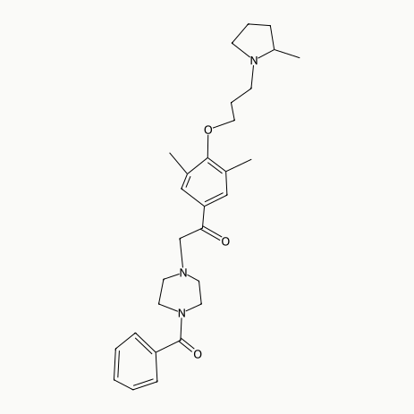 Cc1cc(C(=O)CN2CCN(C(=O)c3ccccc3)CC2)cc(C)c1OCCCN1CCCC1C